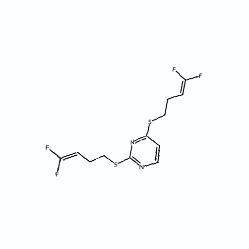 FC(F)=CCCSc1ccnc(SCCC=C(F)F)n1